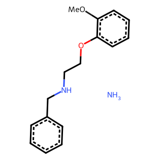 COc1ccccc1OCCNCc1ccccc1.N